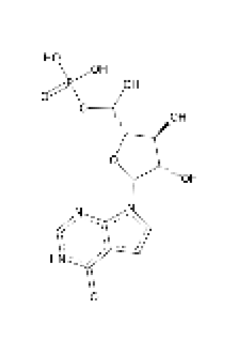 O=c1[nH]cnc2c1ccn2[C@@H]1O[C@H](C(O)OP(=O)(O)O)[C@@H](O)[C@@H]1O